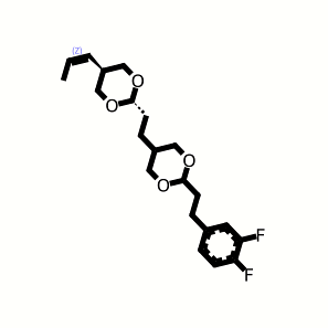 C/C=C\[C@H]1CO[C@H](CCC2COC(CCc3ccc(F)c(F)c3)OC2)OC1